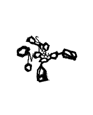 c1ccc(N(c2ccccc2)c2cc3c4c(c2)-n2c5c(cccc5c5sc6ccccc6c52)B4n2c4ccc(C56CC7CC(CC(C7)C5)C6)cc4c4cc(C56CC7CC(CC(C7)C5)C6)cc-3c42)cc1